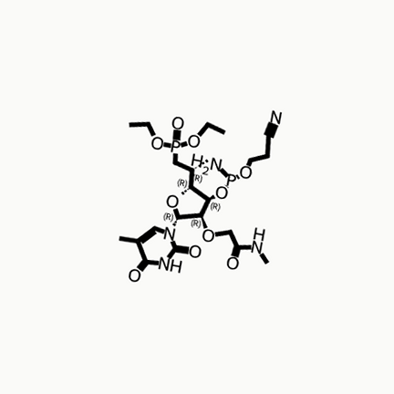 CCOP(=O)(C[C@H](C)[C@H]1O[C@@H](n2cc(C)c(=O)[nH]c2=O)[C@H](OCC(=O)NC)[C@@H]1OP(N)OCCC#N)OCC